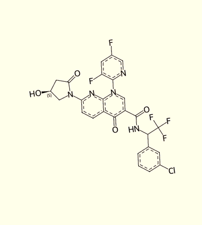 O=C(NC(c1cccc(Cl)c1)C(F)(F)F)c1cn(-c2ncc(F)cc2F)c2nc(N3C[C@@H](O)CC3=O)ccc2c1=O